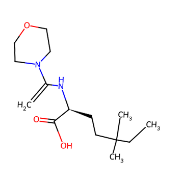 C=C(N[C@@H](CCC(C)(C)CC)C(=O)O)N1CCOCC1